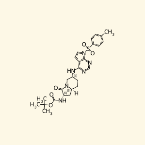 Cc1ccc(S(=O)(=O)n2ccc3c(N[C@H]4CC[C@H]5C[C@H](NC(=O)OC(C)(C)C)C(=O)N5C4)ncnc32)cc1